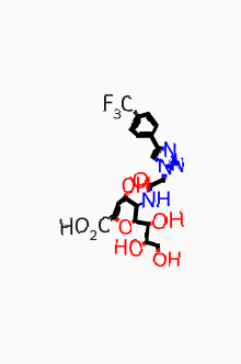 O=C(Cn1cc(-c2ccc(C(F)(F)F)cc2)nn1)N[C@@H]1C(O)C=C(C(=O)O)OC1C(O)C(O)CO